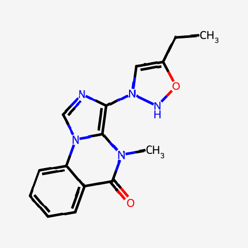 CCC1=CN(c2ncn3c4ccccc4c(=O)n(C)c23)NO1